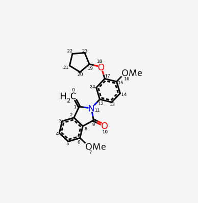 C=C1c2cccc(OC)c2C(=O)N1c1ccc(OC)c(OC2CCCC2)c1